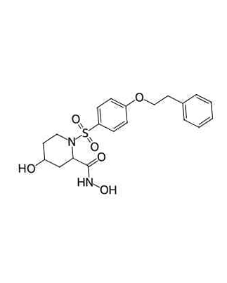 O=C(NO)C1CC(O)CCN1S(=O)(=O)c1ccc(OCCc2ccccc2)cc1